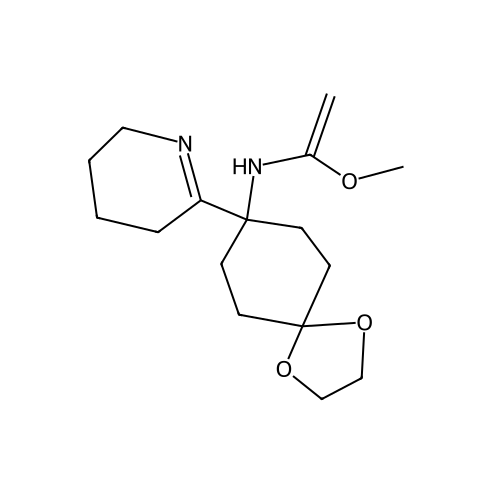 C=C(NC1(C2=NCCCC2)CCC2(CC1)OCCO2)OC